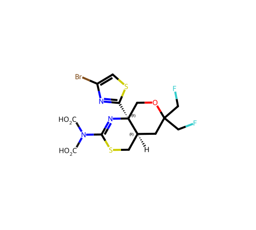 O=C(O)N(C(=O)O)C1=N[C@@]2(c3nc(Br)cs3)COC(CF)(CF)C[C@H]2CS1